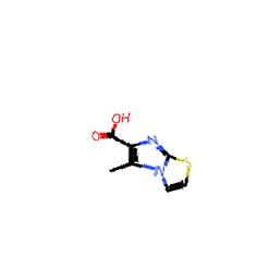 Cc1c(C(=O)O)nc2sccn12